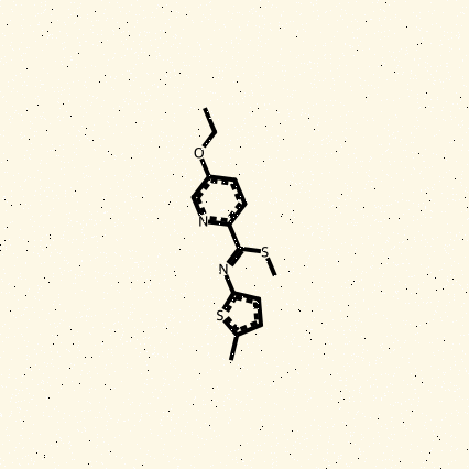 CCOc1ccc(C(=Nc2ccc(C)s2)SC)nc1